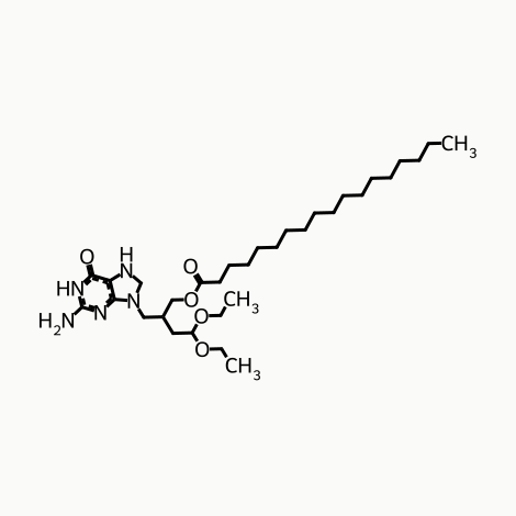 CCCCCCCCCCCCCCCCCC(=O)OCC(CC(OCC)OCC)CN1CNc2c1nc(N)[nH]c2=O